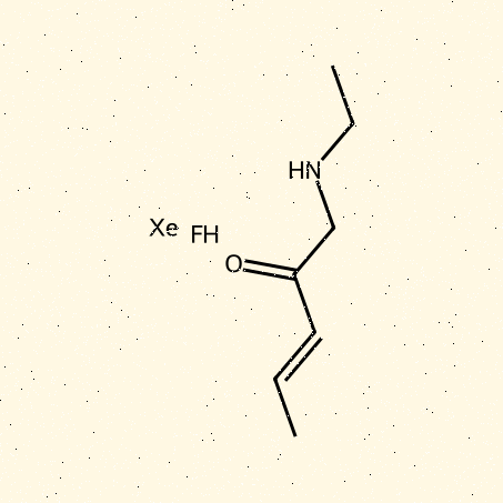 CC=CC(=O)CNCC.F.[Xe]